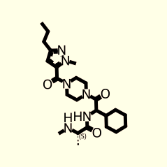 CCCc1cc(C(=O)N2CCN(C(=O)C(NC(=O)[C@H](C)NC)C3CCCCC3)CC2)n(C)n1